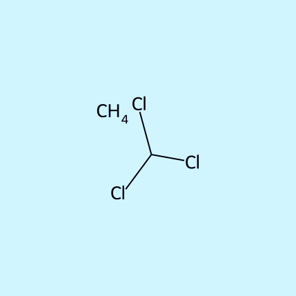 C.ClC(Cl)Cl